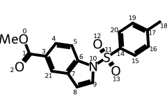 COC(=O)c1ccc2c(ccn2S(=O)(=O)c2ccc(C)cc2)c1